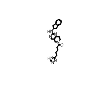 O=C(CCCCc1nnc[nH]1)N1CCc2nc(NC3Cc4ccccc4C3)ncc2C1